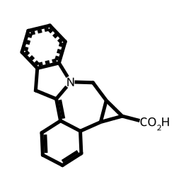 O=C(O)C1C2CN3C(=C4C=CC=CC4C21)Cc1ccccc13